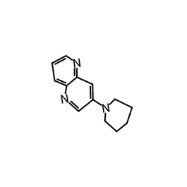 c1cnc2cc(N3CCCCC3)cnc2c1